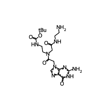 CC(C)(C)OC(=O)NCCN(CC(=O)NCCN)C(=O)Cn1cnc2c(=O)[nH]c(N)nc21